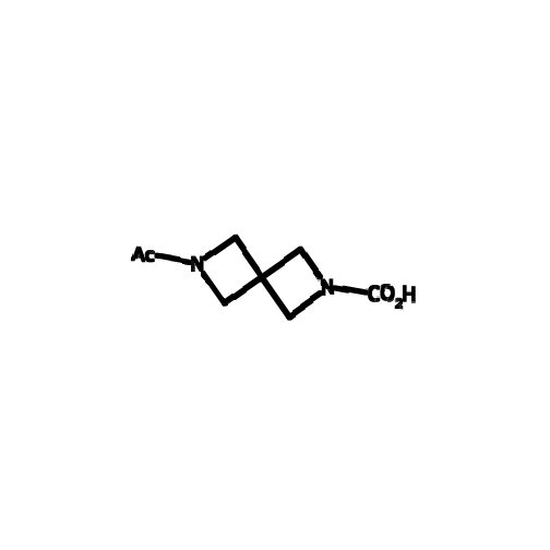 CC(=O)N1CC2(C1)CN(C(=O)O)C2